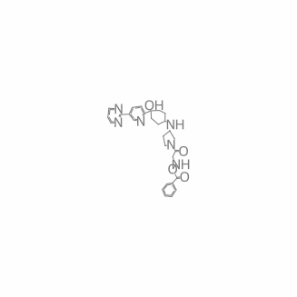 O=C(ONCC(=O)N1CC[C@H](NC2CCC(O)(c3ccc(-c4ncccn4)cn3)CC2)C1)c1ccccc1